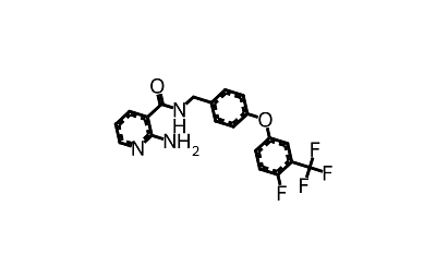 Nc1ncccc1C(=O)NCc1ccc(Oc2ccc(F)c(C(F)(F)F)c2)cc1